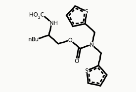 CCCCC(COC(=O)N(Cc1cccs1)Cc1cccs1)NC(=O)O